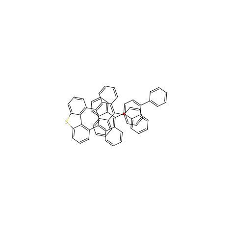 c1ccc(-c2ccc(-c3c4ccccc4c(-c4cccc5sc6cccc(-c7c8ccccc8c(-c8ccccc8)c8ccccc78)c6c45)c4ccccc34)c3ccccc23)cc1